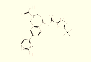 CC(C)(C)c1nnc(C(=O)NC2CCN(C(=O)O)Cc3cc(-c4ccnc(Cl)n4)ccc32)o1